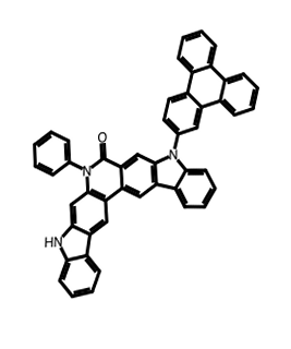 O=c1c2cc3c(cc2c2cc4c(cc2n1-c1ccccc1)[nH]c1ccccc14)c1ccccc1n3-c1ccc2c3ccccc3c3ccccc3c2c1